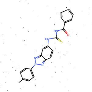 Cc1ccc(-n2nc3ccc(NC(=S)NC(=O)c4ccccc4)cc3n2)cc1